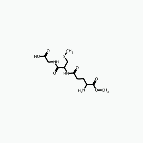 COC(=O)C(N)CCC(=O)NC(CSC)C(=O)NCC(=O)O